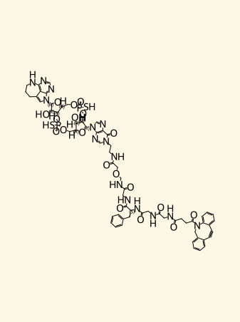 O=C(CCC(=O)N1Cc2ccccc2C#Cc2ccccc21)NCC(=O)NCC(=O)N[C@@H](Cc1ccccc1)C(=O)NCC(=O)NCOCC(=O)NCCn1cnc2c(ncn2[C@@H]2O[C@@H]3COP(=O)(S)O[C@H]4[C@@H](O)[C@H](n5cc6c7c(ncnc75)NCCC6)O[C@@H]4COP(=O)(S)O[C@@H]2[C@@H]3O)c1=O